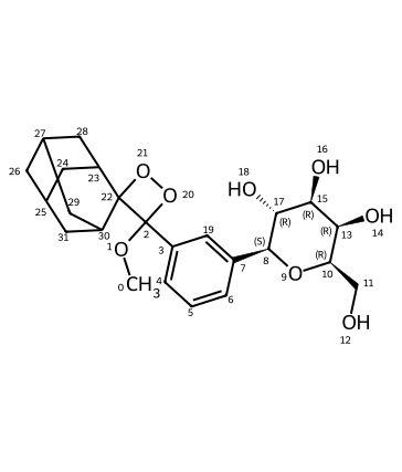 COC1(c2cccc([C@@H]3O[C@H](CO)[C@H](O)[C@H](O)[C@H]3O)c2)OOC12C1CC3CC(C1)CC2C3